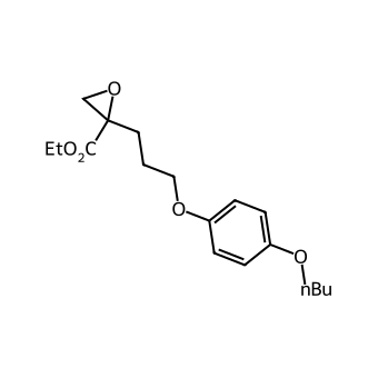 CCCCOc1ccc(OCCCC2(C(=O)OCC)CO2)cc1